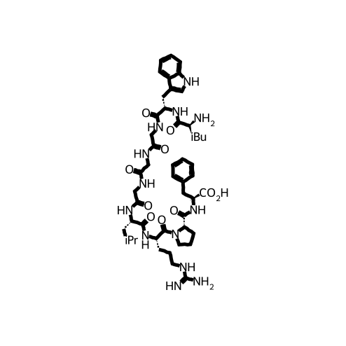 CC[C@H](C)[C@H](N)C(=O)N[C@@H](Cc1c[nH]c2ccccc12)C(=O)NCC(=O)NCC(=O)NCC(=O)N[C@@H](CC(C)C)C(=O)N[C@@H](CCCNC(=N)N)C(=O)N1CCC[C@H]1C(=O)N[C@@H](Cc1ccccc1)C(=O)O